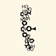 COC(=O)N[C@H](C(=O)N1CCC[C@H]1c1nc2cc([C@H]3CC[C@H](c4ccc5[nH]c([C@@H]6CCCN6C(=O)[C@@H](NC(=O)O)C(C)C)nc5c4)N3c3ccc(C4CC4)cc3)ccc2[nH]1)C(C)C